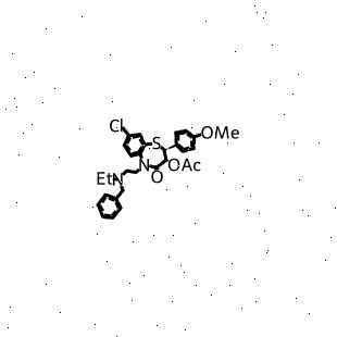 CCN(CCN1C(=O)[C@H](OC(C)=O)[C@H](c2ccc(OC)cc2)Sc2cc(Cl)ccc21)Cc1ccccc1